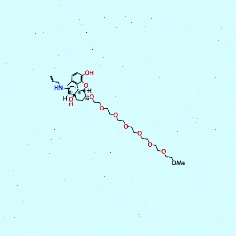 C=CCNC1CC[C@]23c4c5ccc(O)c4O[C@H]2[C@@H](OCCOCCOCCOCCOCCOCCOCCOC)CC[C@@]3(O)[C@H]1C5